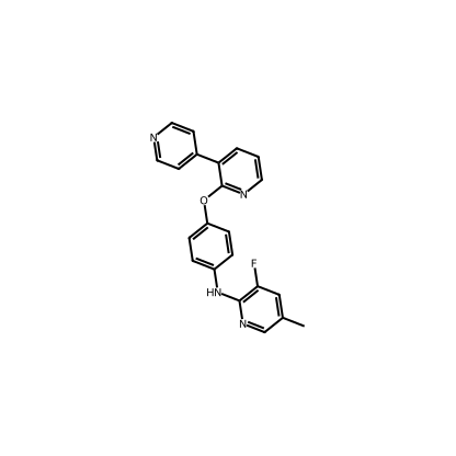 Cc1cnc(Nc2ccc(Oc3ncccc3-c3ccncc3)cc2)c(F)c1